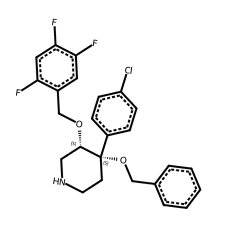 Fc1cc(F)c(CO[C@H]2CNCC[C@]2(OCc2ccccc2)c2ccc(Cl)cc2)cc1F